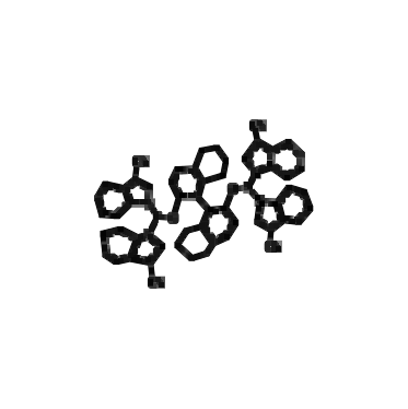 N#Cc1cn(P(Oc2ccc3c(c2-c2c(OP(n4cc(C#N)c5ccccc54)n4cc(C#N)c5ccccc54)ccc4c2CCCC4)CCCC3)n2cc(C#N)c3ccccc32)c2ccccc12